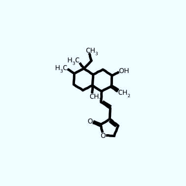 C=C1C(O)CC2C(C)(CC)C(C)CCC2(C)C1/C=C/C1=CCOC1=O